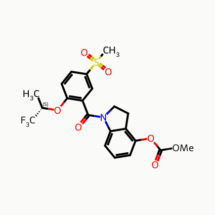 COC(=O)Oc1cccc2c1CCN2C(=O)c1cc(S(C)(=O)=O)ccc1O[C@@H](C)C(F)(F)F